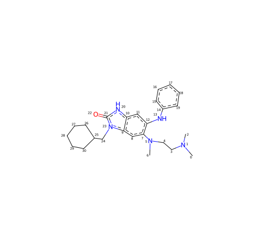 CN(C)CCN(C)c1cc2c(cc1Nc1ccccc1)[nH]c(=O)n2CC1CCCCC1